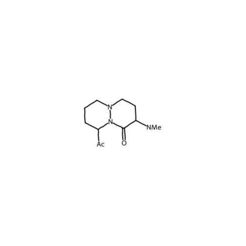 CNC1CCN2CCCC(C(C)=O)N2C1=O